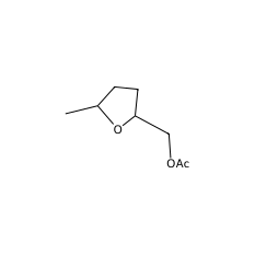 CC(=O)OCC1CCC(C)O1